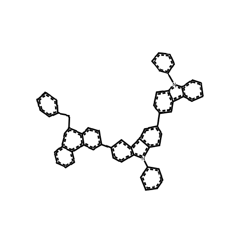 c1ccc(Cc2cc3ccccc3c3cc(-c4ccc5c(c4)c4cc(-c6ccc7c(c6)c6ccccc6n7-c6ccccc6)ccc4n5-c4ccccc4)ccc23)cc1